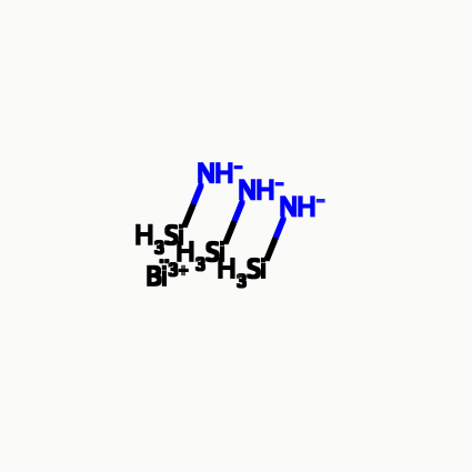 [Bi+3].[NH-][SiH3].[NH-][SiH3].[NH-][SiH3]